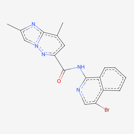 Cc1cn2nc(C(=O)Nc3ncc(Br)c4ccccc34)cc(C)c2n1